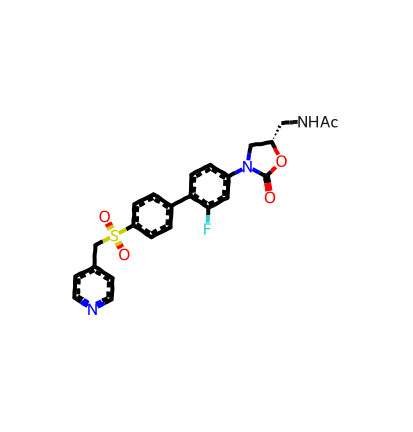 CC(=O)NC[C@H]1CN(c2ccc(-c3ccc(S(=O)(=O)Cc4ccncc4)cc3)c(F)c2)C(=O)O1